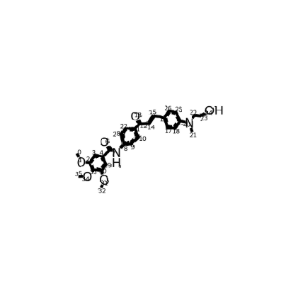 COc1cc(C(=O)Nc2ccc(C(=O)/C=C/c3ccc(N(C)CCO)cc3)cc2)cc(OC)c1OC